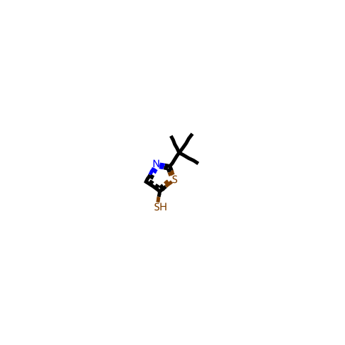 CC(C)(C)c1ncc(S)s1